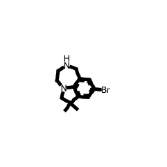 CC1(C)CN2CCNCc3cc(Br)cc1c32